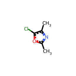 Cc1nc(C)c(Cl)o1